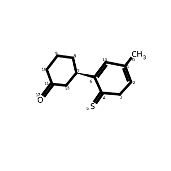 CC1=CCC(=S)C([C@@H]2CCCC(=O)C2)=C1